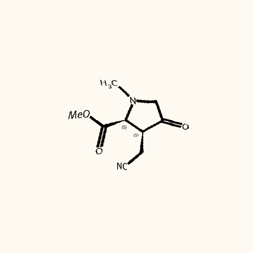 COC(=O)[C@@H]1[C@H](CC#N)C(=O)CN1C